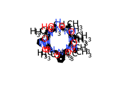 CC(C)C[C@@H]1NC(=O)[C@H](CC(C)C)N(C)C(=O)[C@H](COC(C)(C)C)NC(=O)[C@H](Cc2ccccc2)N(C)C(=O)[C@H](C)N(C)C(=O)[C@@H](C(=O)N2CCCCC2)NC(=O)[C@H](CC(C)C)N(C)C(=O)[C@H](C(C)O)NC1=O